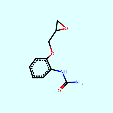 NC(=O)Nc1ccccc1OCC1CO1